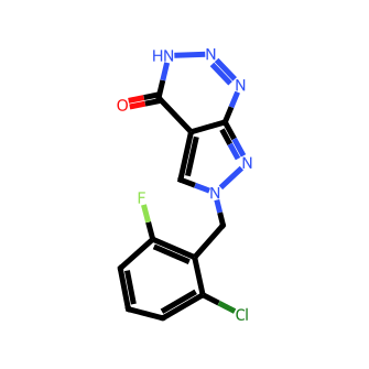 O=c1[nH]nnc2nn(Cc3c(F)cccc3Cl)cc12